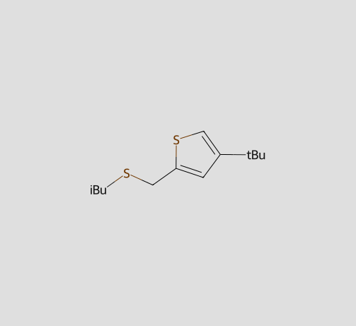 CCC(C)SCc1cc(C(C)(C)C)cs1